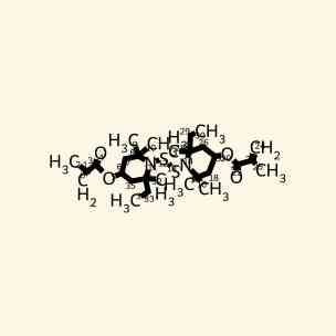 C=C(C)C(=O)OC1CC(C)(C)N(SSN2C(C)(C)CC(OC(=O)C(=C)C)CC2(C)CC)C(C)(CC)C1